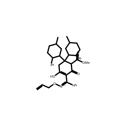 C=CCO/N=C(/CCC)C1=C(O)CC(C2CC(C)CCC2C(C)C)(C2CC(C)CCC2C(C)C)C(C(=O)OC)C1=O